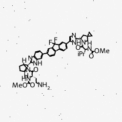 COC(=O)N[C@@H](CCN)C(=O)N1[C@@H]2CC[C@@H](C2)[C@H]1c1nc2ccc(-c3ccc4c(c3)C(F)(F)c3cc(-c5cnc(C6CC7(CC7)CN6C(=O)[C@@H](NC(=O)OC)C(C)C)[nH]5)ccc3-4)cc2[nH]1